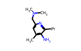 Cc1cc(CN(C)C)nc(C(C)C)c1N